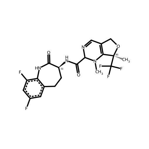 CN1C2=C(C=NC1C(=O)N[C@H]1CCc3cc(F)cc(F)c3NC1=O)CO[C@@]2(C)C(F)(F)F